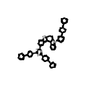 C1=CC2C(c3ccccc3N2c2cccc(-c3ccc(-c4ccccc4)cc3)c2)c2c1oc1ccc(-c3nc(-c4ccc(-c5ccccc5)cc4)nc(-c4ccc(-c5ccccc5)cc4)n3)cc21